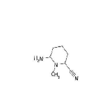 CN1C(N)CCCC1C#N